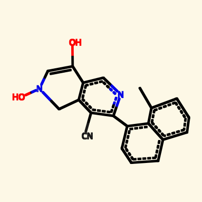 Cc1cccc2cccc(-c3ncc4c(c3C#N)CN(O)C=C4O)c12